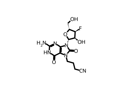 N#CCCCn1c(=O)n([C@@H]2O[C@H](CO)[C@@H](F)[C@H]2O)c2nc(N)[nH]c(=O)c21